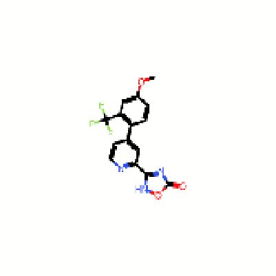 COc1ccc(-c2ccnc(-c3nc(=O)o[nH]3)c2)c(C(F)(F)F)c1